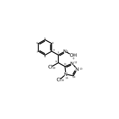 ON=C(c1ccccc1)C(Cl)c1nncn1Cl